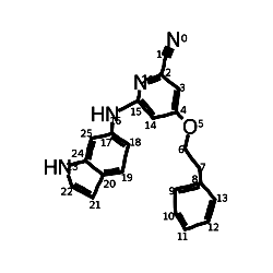 N#Cc1cc(OCCc2ccccc2)cc(Nc2ccc3cc[nH]c3c2)n1